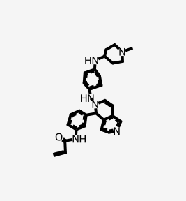 C=CC(=O)Nc1cccc(C2c3ccncc3C=CN2Nc2ccc(NC3CCN(C)CC3)cc2)c1